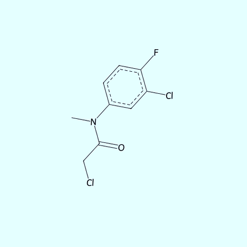 CN(C(=O)CCl)c1ccc(F)c(Cl)c1